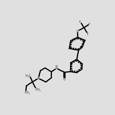 CCC(C)(C)N1CCC(NC(=O)c2cccc(-c3ccc(OC(F)(F)F)cc3)c2)CC1